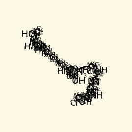 Cc1c(C#CCNC(=O)[C@@H]2C[C@@H](O)CN2C(=O)[C@@H](NC(=O)[C@H]2CCC3(CC2)C[C@H](N2CCC(c4cnc(N5CCN6c7cc(-c8ccccc8O)nnc7NC[C@H]6C5)nc4)CC2)C3)C(C)(C)C)ccc(F)c1C1CC(c2cnc(N3CCN4c5cc(-c6cccc(Cl)c6O)nnc5NC[C@H]4C3)nc2)CCN1